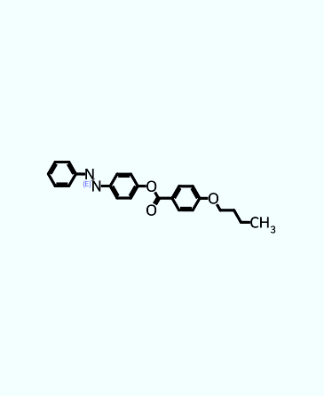 CCCCOc1ccc(C(=O)Oc2ccc(/N=N/c3ccccc3)cc2)cc1